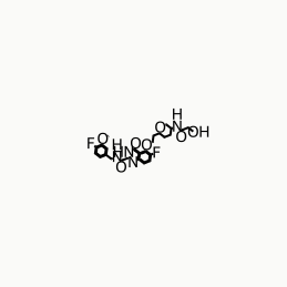 COc1cc(CNC(=O)c2nc3ccc(F)c(OCCC4CCC(NC(=O)CO)CO4)c3c(=O)[nH]2)ccc1F